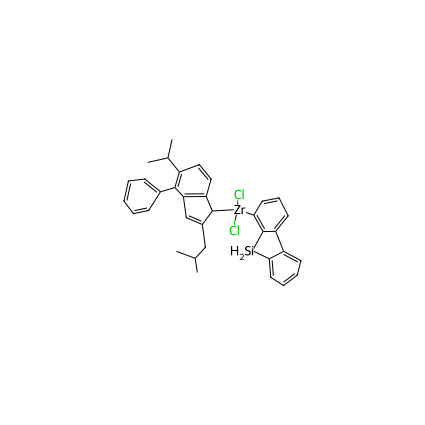 CC(C)CC1=Cc2c(ccc(C(C)C)c2-c2ccccc2)[CH]1[Zr]([Cl])([Cl])[c]1cccc2c1[SiH2]c1ccccc1-2